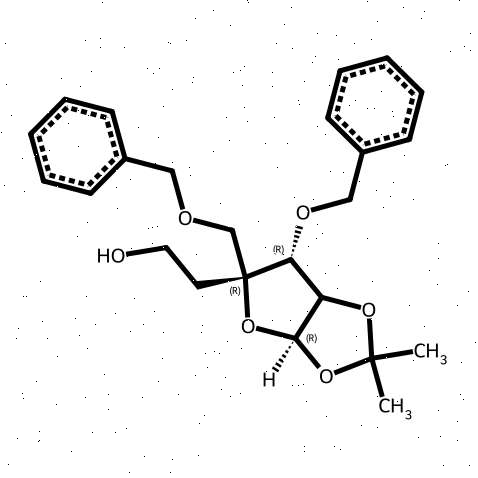 CC1(C)OC2[C@@H](O1)O[C@](CCO)(COCc1ccccc1)[C@@H]2OCc1ccccc1